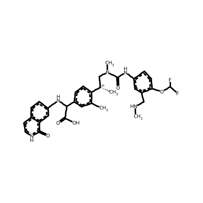 CNCc1cc(NC(=O)N(C)C[C@H](C)c2ccc(C(Nc3ccc4cc[nH]c(=O)c4c3)C(=O)O)cc2C)ccc1OC(F)F